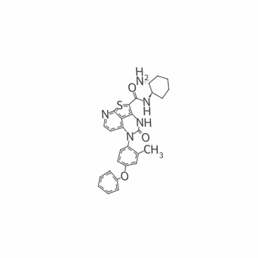 Cc1cc(Oc2ccccc2)ccc1N1C(=O)Nc2c(C(=O)N[C@@H]3CCCC[C@H]3N)sc3nccc1c23